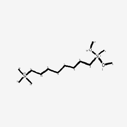 CO[Si](C)(CCCCCCCC[Si](C)(C)C)OC